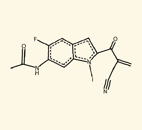 C=C(C#N)C(=O)c1cc2cc(F)c(NC(C)=O)cc2n1I